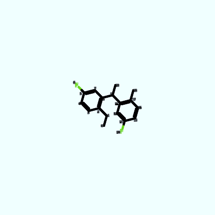 CCc1ccc(F)cc1C(C)c1cc(F)ccc1C